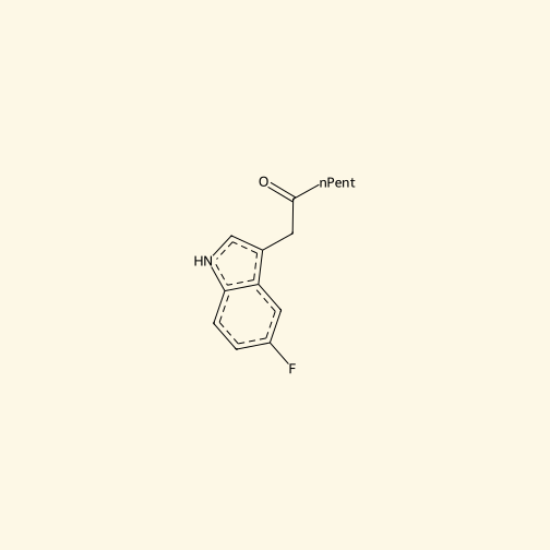 CCCCCC(=O)Cc1c[nH]c2ccc(F)cc12